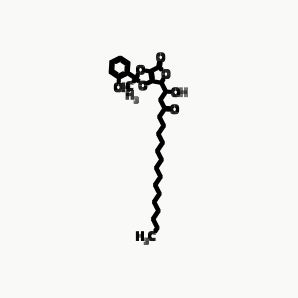 CCCCCCCCCCCCCCCC(=O)CC(O)C1OC(=O)C2=C1OC(C)(c1ccccc1O)O2